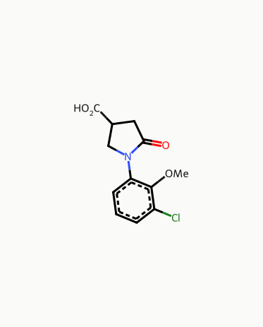 COc1c(Cl)cccc1N1CC(C(=O)O)CC1=O